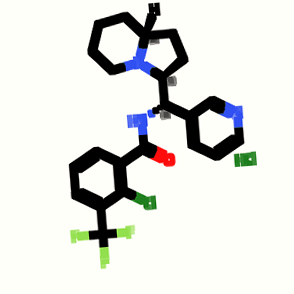 Cl.O=C(N[C@@H](c1cccnc1)[C@@H]1CC[C@H]2CCCCN21)c1cccc(C(F)(F)F)c1Cl